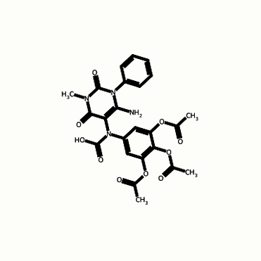 CC(=O)Oc1cc(N(C(=O)O)c2c(N)n(-c3ccccc3)c(=O)n(C)c2=O)cc(OC(C)=O)c1OC(C)=O